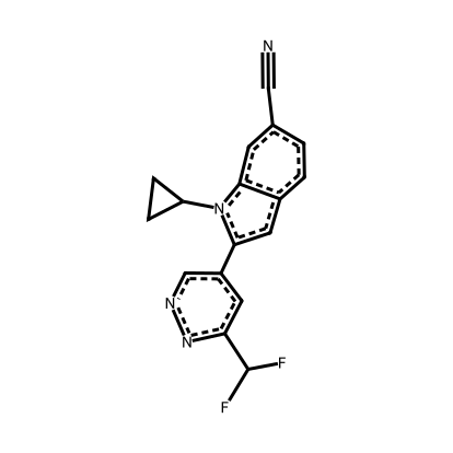 N#Cc1ccc2cc(-c3cnnc(C(F)F)c3)n(C3CC3)c2c1